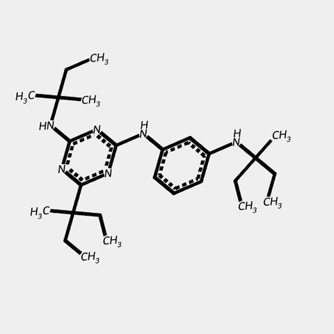 CCC(C)(C)Nc1nc(Nc2cccc(NC(C)(CC)CC)c2)nc(C(C)(CC)CC)n1